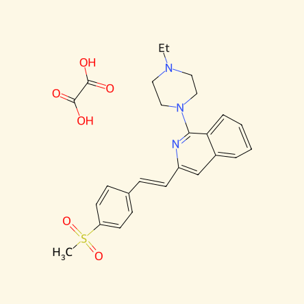 CCN1CCN(c2nc(C=Cc3ccc(S(C)(=O)=O)cc3)cc3ccccc23)CC1.O=C(O)C(=O)O